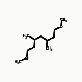 COCCC(C)SC(C)CCOC